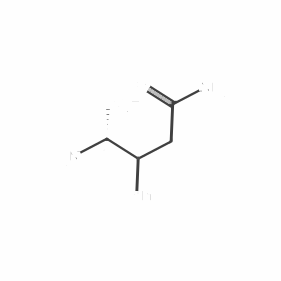 CCCC(CC(N)=O)[C@H](N)C(=O)O